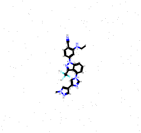 CCNc1cc(-n2nc(C(F)(F)F)c3c(-n4cnc(-c5cnn(C)c5)c4)cccc32)ccc1C#N